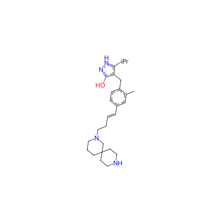 Cc1cc(/C=C/CCN2CCCC3(CCNCC3)C2)ccc1Cc1c(O)n[nH]c1C(C)C